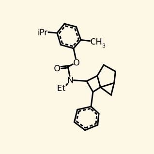 CCN(C(=O)Oc1cc(C(C)C)ccc1C)C1C2CCC3CC32C1c1ccccc1